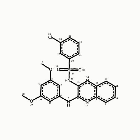 COc1cc(Nc2nc3ccccc3nc2NS(=O)(=O)c2cccc(Cl)c2)cc(OC)c1